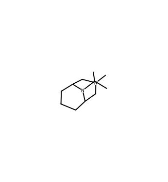 CC(C)N1C2CCCC1CN(C)C2